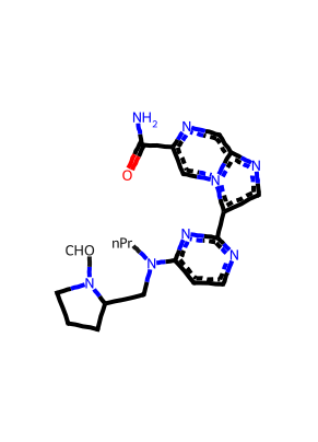 CCCN(CC1CCCN1C=O)c1ccnc(-c2cnc3cnc(C(N)=O)cn23)n1